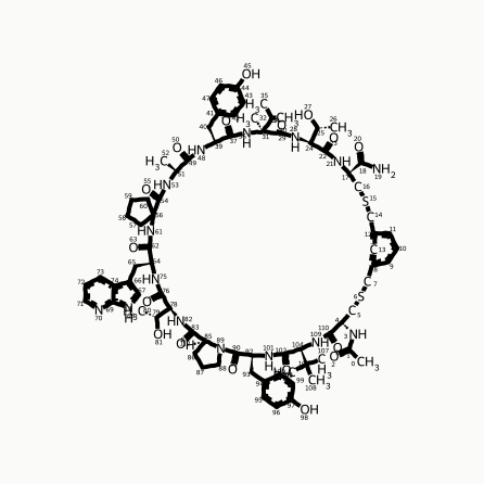 CC(=O)N[C@H]1CSCc2cccc(c2)CSC[C@H](C(N)=O)NC(=O)[C@H]([C@@H](C)O)NC(=O)[C@](C)(C(C)C)NC(=O)[C@H](Cc2ccc(O)cc2)NC(=O)[C@H](C)NC(=O)C2(CCCC2)NC(=O)[C@H](Cc2c[nH]c3ncccc23)NC(=O)[C@H]([C@@H](C)O)NC(=O)[C@@H]2CCCN2C(=O)[C@H](Cc2ccc(O)cc2)NC(=O)[C@H](C(C)(C)C)NC1=O